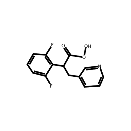 O=C(OO)C(Cc1cccnc1)c1c(F)cccc1F